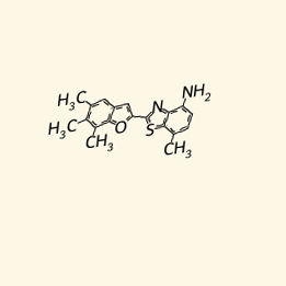 Cc1cc2cc(-c3nc4c(N)ccc(C)c4s3)oc2c(C)c1C